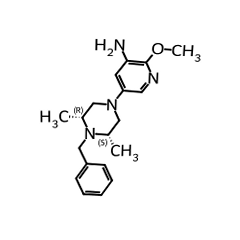 COc1ncc(N2C[C@@H](C)N(Cc3ccccc3)[C@@H](C)C2)cc1N